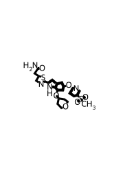 CS(=O)(=O)c1ccc(Oc2cc(OC3CCOCC3)c3[nH]c(C4=NCC(CC(N)=O)S4)cc3c2)nc1